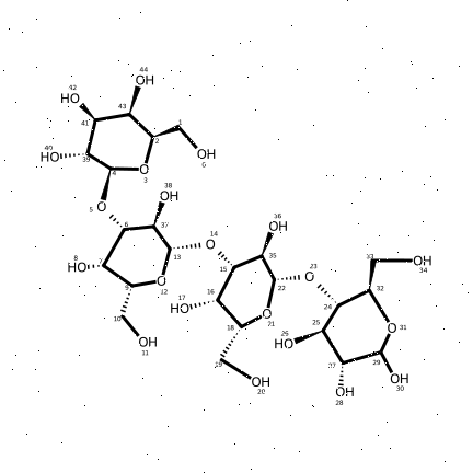 OC[C@H]1O[C@@H](O[C@H]2[C@@H](O)[C@@H](CO)O[C@@H](O[C@H]3[C@@H](O)[C@@H](CO)O[C@@H](O[C@H]4[C@H](O)[C@@H](O)C(O)O[C@@H]4CO)[C@@H]3O)[C@@H]2O)[C@H](O)[C@@H](O)[C@H]1O